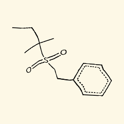 CCC(C)(C)S(=O)(=O)Cc1ccccc1